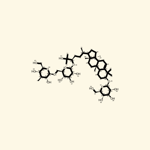 C[C@@H]1[C@@H](O)[C@H](OC[C@H]2O[C@@H](O[C@H](CC[C@@H](C)C3CC[C@@]4(C)C5CC=C6C(CC[C@H](O[C@@H]7O[C@H](CO)[C@@H](O)[C@H](O)[C@H]7O)C6(C)C)[C@]5(C)CC[C@]34C)C(C)(C)O)[C@H](O)[C@@H](O)[C@@H]2O)O[C@H](CO)[C@H]1O